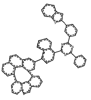 c1ccc(-c2nc(-c3cccc(-c4cc5ccccc5s4)c3)nc(-c3ccc(-c4cc5ccc6cccc7c8cccc9ccc%10cccc(c(c4)c5c67)c%10c98)c4ccccc34)n2)cc1